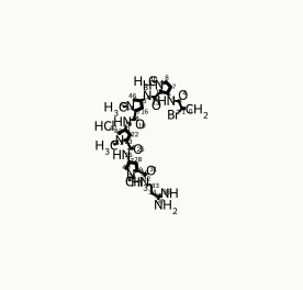 C=C(Br)C(=O)Nc1ccn(C)c1C(=O)Nc1cc(C(=O)Nc2cc(C(=O)Nc3cc(C(=O)NCCC(=N)N)n(C)c3)n(C)c2)n(C)c1.Cl